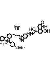 CN[C@H]1CC[C@H](N(C(=O)O)c2cc(CCCn3nnc4cc(CNC[C@H](O)c5ccc(O)c6[nH]c(=O)ccc56)ccc43)ccc2-c2ccccc2)CC1.F.F